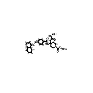 CC(C)(C)OC(=O)N1CCC(CC(=O)NO)(NC(=O)c2ccc(COc3ccnc4ccccc34)cc2)CC1